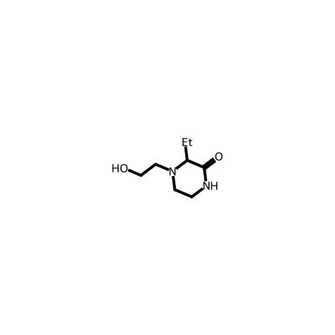 CCC1C(=O)NCCN1CCO